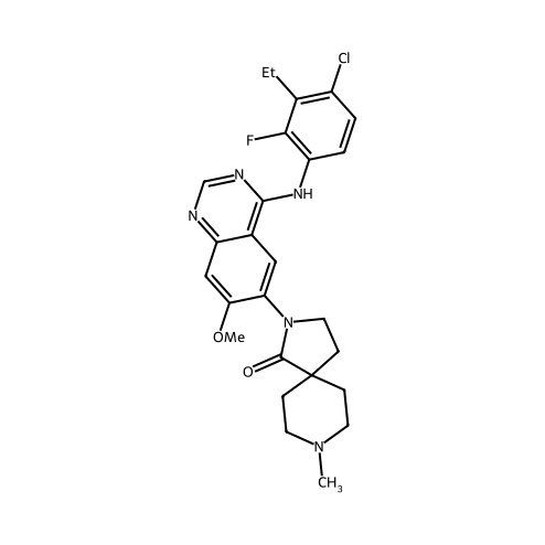 CCc1c(Cl)ccc(Nc2ncnc3cc(OC)c(N4CCC5(CCN(C)CC5)C4=O)cc23)c1F